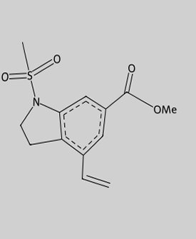 C=Cc1cc(C(=O)OC)cc2c1CCN2S(C)(=O)=O